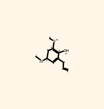 C=CCC1=CC(OC)[CH]C(OC)=C1O